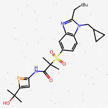 CC(C)(C)Cc1nc2cc(S(=O)(=O)C(C)(C)C(=O)NC3=PC(C(C)(C)O)=C3)ccc2n1CC1CC1